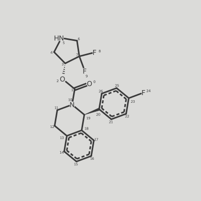 O=C(O[C@@H]1CNCC1(F)F)N1CCc2ccccc2[C@@H]1c1ccc(F)cc1